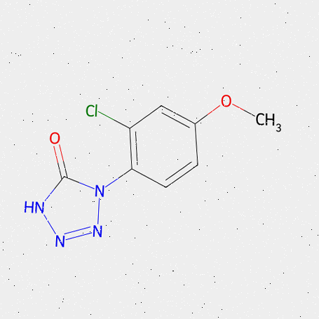 COc1ccc(-n2nn[nH]c2=O)c(Cl)c1